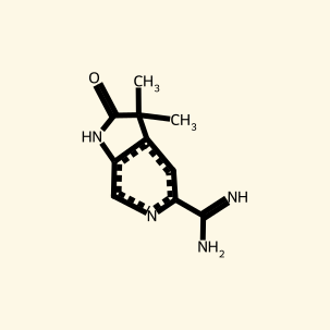 CC1(C)C(=O)Nc2cnc(C(=N)N)cc21